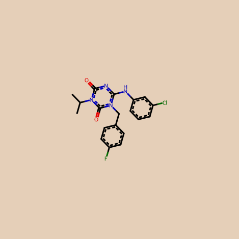 CC(C)n1c(=O)nc(Nc2cccc(Cl)c2)n(Cc2ccc(F)cc2)c1=O